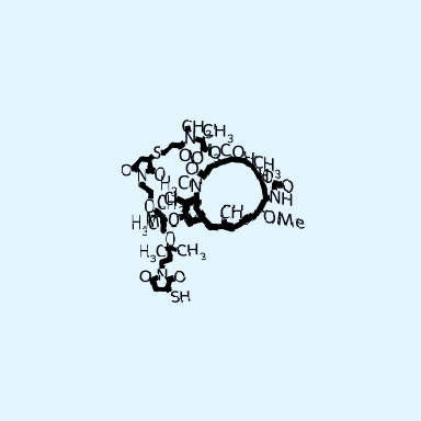 COc1cc2cc(c1Cl)N(C)C(=O)C[C@H](OC(=O)[C@H](C)N(C)C(=O)CCSC1CC(=O)N(CCOC(C)(C)CCOC(C)(C)CCN3C(=O)CC(S)C3=O)C1=O)[C@]1(C)O[C@H]1[C@H](C)[C@@H]1CC(NC(=O)O1)[C@H](OC)/C=C/C=C(\C)C2